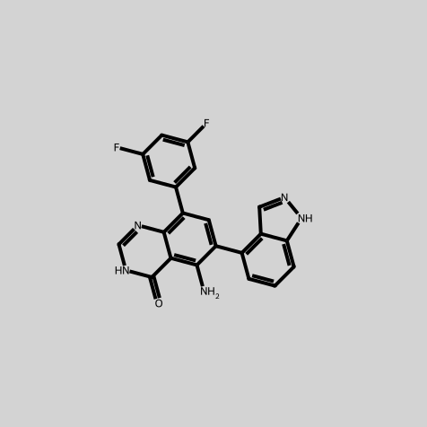 Nc1c(-c2cccc3[nH]ncc23)cc(-c2cc(F)cc(F)c2)c2nc[nH]c(=O)c12